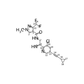 Cn1cc(C(=O)NCC(=N)c2ncc(C#CC3CC3)cc2Cl)c(C(F)F)n1